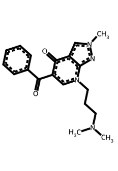 CN(C)CCCn1cc(C(=O)c2ccccc2)c(=O)c2cn(C)nc21